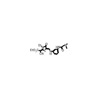 CCOC(=O)C(C#N)=c1sc(=CNc2cccc(NC(=O)CN(C)C)c2)c(=O)n1CC